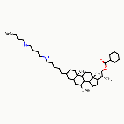 CNCCCNCCCCNCCCCCC1CC[C@@]2(C)C(C1)CC(OC)C1C2CC[C@@]2(C)C1CC[C@@H]2[C@@H](C)COC(=O)C1CCCCC1